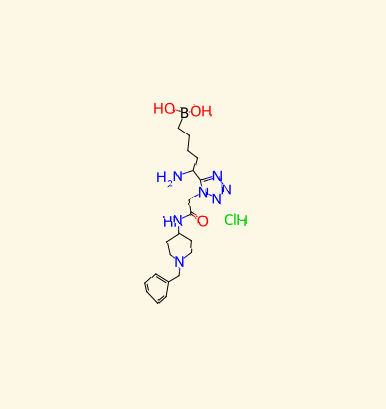 Cl.NC(CCCCB(O)O)c1nnnn1CC(=O)NC1CCN(Cc2ccccc2)CC1